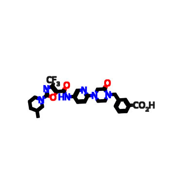 CC1CCCN(c2nc(C(F)(F)F)c(C(=O)Nc3ccc(N4CCN(Cc5cccc(C(=O)O)c5)C(=O)C4)nc3)o2)C1